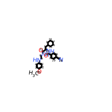 COc1ccc(NCCNC(=O)C(CC2CCCCC2)NC(=O)c2ccc(C#N)cc2)cc1